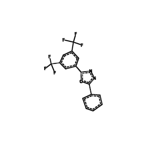 FC(F)(F)c1cc(-c2nnc(-c3ccccc3)o2)cc(C(F)(F)F)c1